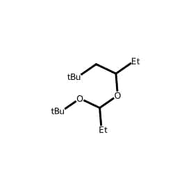 CCC(CC(C)(C)C)OC(CC)OC(C)(C)C